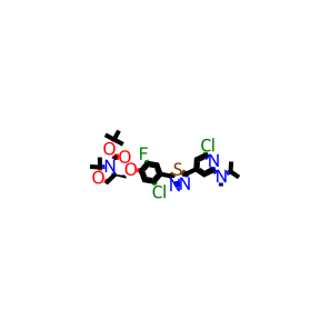 CC(C)N(C)c1cc(-c2nnc(-c3cc(F)c(OC[C@H]4COC(C)(C)N4C(=O)OC(C)(C)C)cc3Cl)s2)cc(Cl)n1